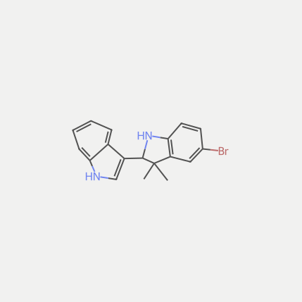 CC1(C)c2cc(Br)ccc2NC1c1c[nH]c2ccccc12